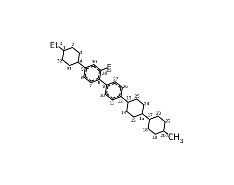 CCC1CCC(c2ccc(-c3ccc(C4CCC(C5CCC(C)CC5)CC4)cc3)c(F)c2)CC1